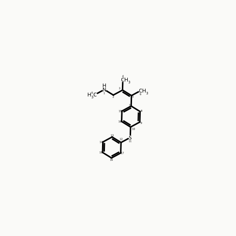 CNCC(C)=C(C)c1ccc(Sc2ccccc2)cc1